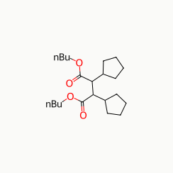 CCCCOC(=O)C(C1CCCC1)C(C(=O)OCCCC)C1CCCC1